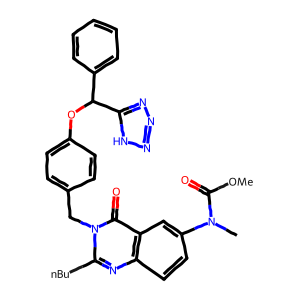 CCCCc1nc2ccc(N(C)C(=O)OC)cc2c(=O)n1Cc1ccc(OC(c2ccccc2)c2nnn[nH]2)cc1